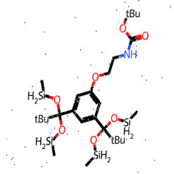 C[SiH2]OC(O[SiH2]C)(c1cc(OCCNC(=O)OC(C)(C)C)cc(C(O[SiH2]C)(O[SiH2]C)C(C)(C)C)c1)C(C)(C)C